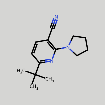 CC(C)(C)c1ccc(C#N)c(N2CCCC2)n1